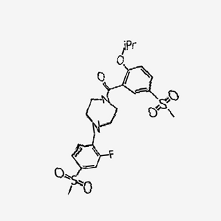 CC(C)Oc1ccc(S(C)(=O)=O)cc1C(=O)N1CCN(c2ccc(S(C)(=O)=O)cc2F)CC1